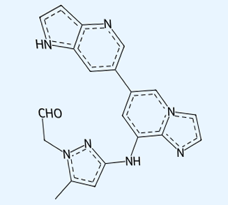 Cc1cc(Nc2cc(-c3cnc4cc[nH]c4c3)cn3ccnc23)nn1CC=O